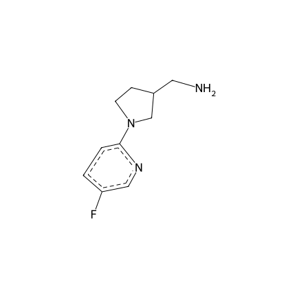 NCC1CCN(c2ccc(F)cn2)C1